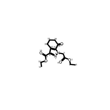 CCOC(=O)Cn1nc(C(=O)OCC)c2c1C(=O)CCC2